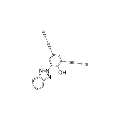 C#CC#Cc1cc(C#CC#C)c(O)c(-n2nc3ccccc3n2)c1